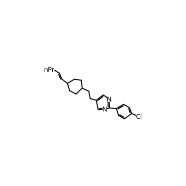 CCC/C=C/C1CCC(CCc2cnc(-c3ccc(Cl)cc3)nc2)CC1